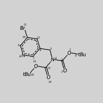 CC(C)(C)OC(=O)N(Cc1cncc(Br)c1)C(=O)OC(C)(C)C